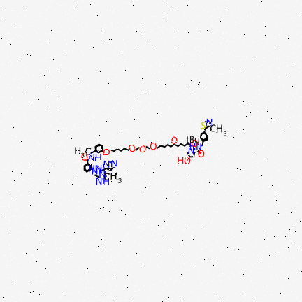 Cc1ncsc1-c1ccc(CNC(=O)[C@@H]2C[C@@H](O)CN2C(=O)[C@@H](CCCC(=O)CCCCCOCCOCCOCCCCCCOc2cccc(C(C)NC(=O)c3cccc(NCC(=N)N(C)C(=N)c4ccncn4)c3)c2)C(C)(C)C)cc1